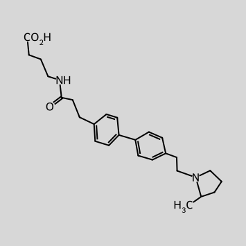 CC1CCCN1CCc1ccc(-c2ccc(CCC(=O)NCCCC(=O)O)cc2)cc1